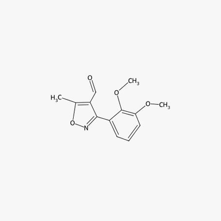 COc1cccc(-c2noc(C)c2C=O)c1OC